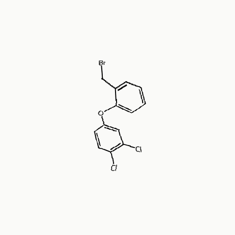 Clc1ccc(Oc2ccccc2CBr)cc1Cl